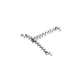 CCCCCCCCCCCCCCCCCC1N(CCCCC)C=CN1CCCCCCCCCCCC